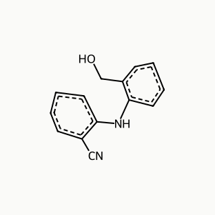 N#Cc1ccccc1Nc1ccccc1CO